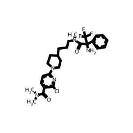 CN(C)C(=O)c1ccc(N2CCC(CCCN(C)C(=O)C(N)(c3ccccc3)C(F)(F)F)CC2)nc1Cl